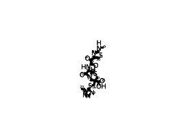 CNc1nc(C(=O)C(=O)NC2C(=O)N3CC(CSc4nnnn4C)(C(=O)O)CS[C@H]23)cs1